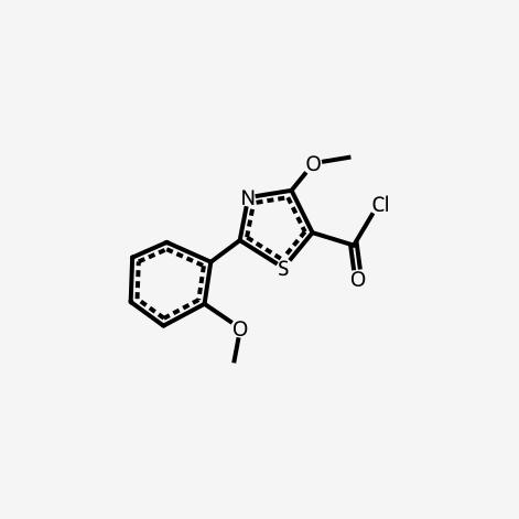 COc1ccccc1-c1nc(OC)c(C(=O)Cl)s1